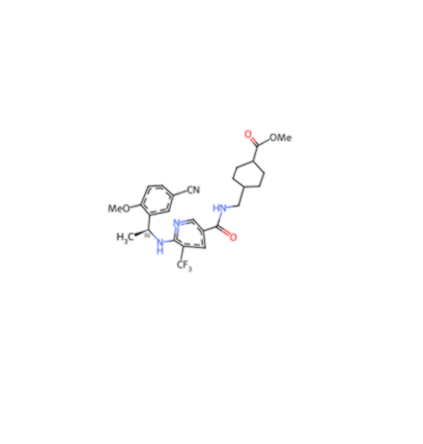 COC(=O)C1CCC(CNC(=O)c2cnc(N[C@@H](C)c3cc(C#N)ccc3OC)c(C(F)(F)F)c2)CC1